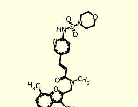 Cc1c(CN(C)C(=O)/C=C/c2ccc(NS(=O)(=O)N3CCOCC3)nc2)oc2c(C)cccc12